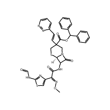 CON=C(C(=O)NC1C(=O)N2CC(C=Cc3cccnn3)(C(=O)OC(c3ccccc3)c3ccccc3)CS[C@H]12)c1csc(NC=O)n1